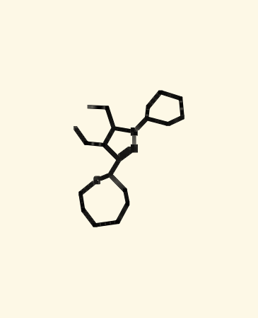 CCC1C(C2CCCCCCC2)=NN(C2CCCCC2)C1CC